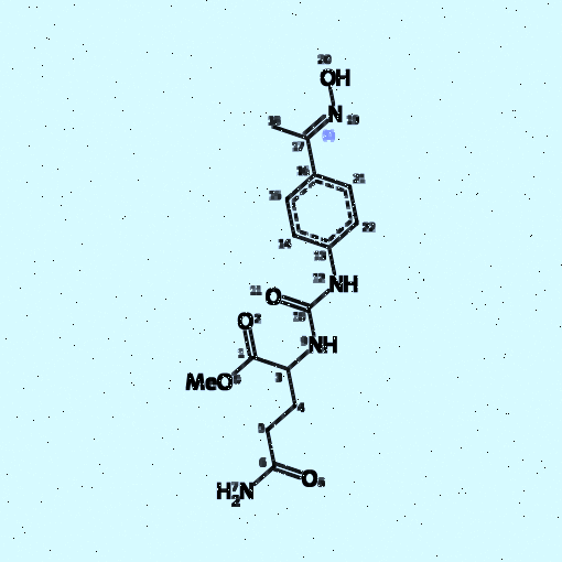 COC(=O)C(CCC(N)=O)NC(=O)Nc1ccc(/C(C)=N/O)cc1